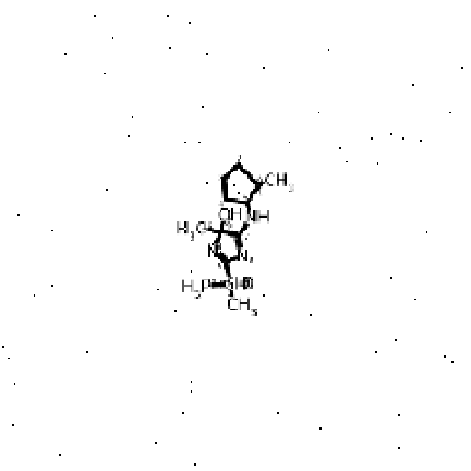 CC1CCCC1NC1=NC([SH](C)(=O)P)=NC1(C)O